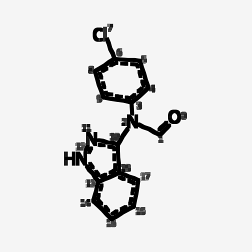 O=CN(c1ccc(Cl)cc1)c1n[nH]c2ccccc12